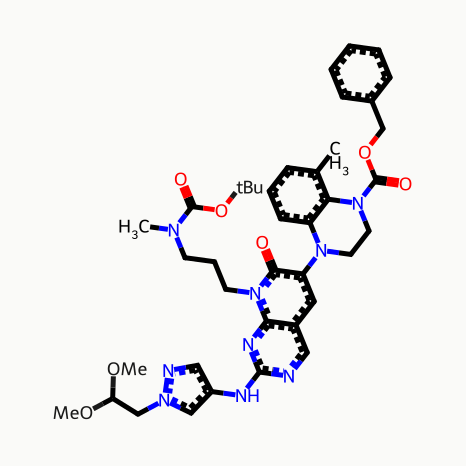 COC(Cn1cc(Nc2ncc3cc(N4CCN(C(=O)OCc5ccccc5)c5c(C)cccc54)c(=O)n(CCCN(C)C(=O)OC(C)(C)C)c3n2)cn1)OC